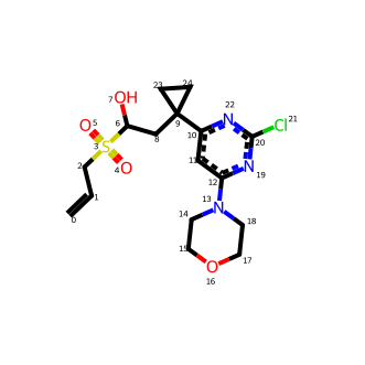 C=CCS(=O)(=O)C(O)CC1(c2cc(N3CCOCC3)nc(Cl)n2)CC1